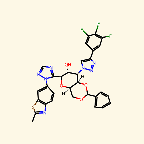 Cc1nc2ccc(-n3ncnc3[C@@H]3O[C@@H]4COC(c5ccccc5)O[C@@H]4[C@H](n4cc(-c5cc(F)c(F)c(F)c5)nn4)[C@H]3O)cc2s1